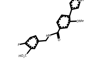 COc1cc(C(=O)NCc2ccc(F)c(C(=O)O)c2)ccc1-c1cn[nH]c1